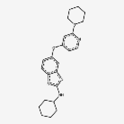 c1cc(Oc2ccc3nc(NC4CCCCC4)sc3c2)cc(N2CCCCC2)n1